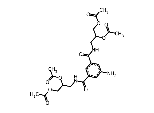 CC(=O)OCC(CNC(=O)c1cc(N)cc(C(=O)NCC(COC(C)=O)OC(C)=O)c1)OC(C)=O